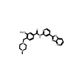 COc1cc(C(=O)Nc2cc(-c3nc4ncccc4o3)ccn2)ccc1CN1CCN(C)CC1